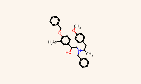 COc1ccc(CC(C)N(Cc2ccccc2)CC(O)c2ccc(OCc3ccccc3)c([AsH2])c2)cc1